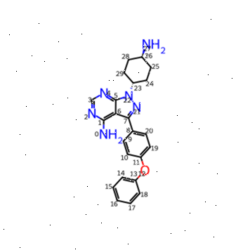 Nc1ncnc2c1c(-c1ccc(Oc3ccccc3)cc1)nn2[C@H]1CC[C@H](N)CC1